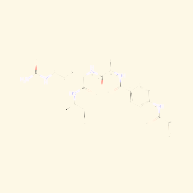 BC[C@@H](C)NC(=O)[C@H](CCCNC(N)=O)NC(=O)C(NC(=O)c1ccc(NC(=O)CBr)cc1)C(C)C